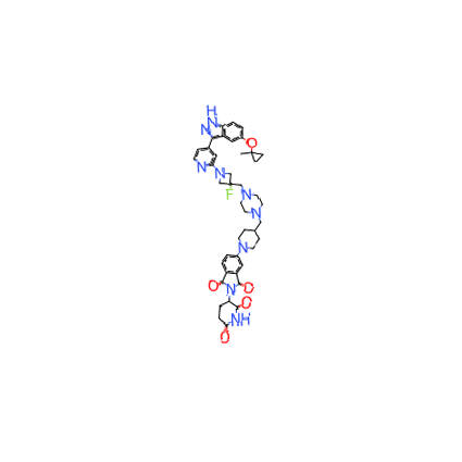 CC1(Oc2ccc3[nH]nc(-c4ccnc(N5CC(F)(CN6CCN(CC7CCN(c8ccc9c(c8)C(=O)N(C8CCC(=O)NC8=O)C9=O)CC7)CC6)C5)c4)c3c2)CC1